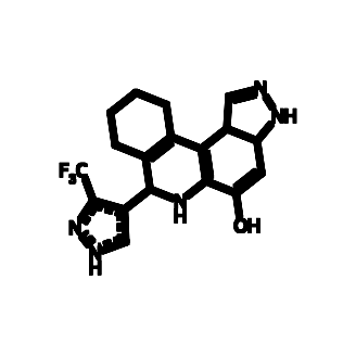 OC1=CC2NN=CC2C2=C1NC(c1c[nH]nc1C(F)(F)F)C1=C2CCCC1